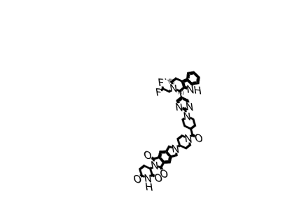 C[C@@H]1Cc2c([nH]c3ccccc23)[C@@H](c2cnc(N3CCC(C(=O)N4CCC(N5Cc6cc7c(cc6C5)C(=O)N(C5CCC(=O)NC5=O)C7=O)CC4)CC3)nc2)N1CC(F)F